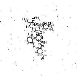 CC[N+](=[SH]C1CC(C)(C[C@H](C)N(C)[C@@H](COc2cc(-c3c(C)cccc3C)nc(NS(=O)(=O)c3cccc(C=O)c3)n2)CC(C)(C)C)C1)C(=O)OC